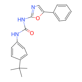 CC(C)(C)c1ccc(NC(=O)Nc2ncc(-c3ccccc3)o2)cc1